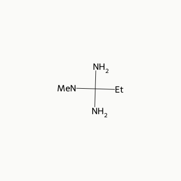 CCC(N)(N)NC